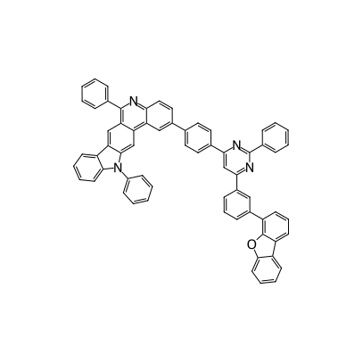 c1ccc(-c2nc(-c3ccc(-c4ccc5nc(-c6ccccc6)c6cc7c8ccccc8n(-c8ccccc8)c7cc6c5c4)cc3)cc(-c3cccc(-c4cccc5c4oc4ccccc45)c3)n2)cc1